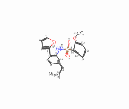 CNCc1ccc(-c2ccco2)c(NS(=O)(=O)c2ccccc2OC(F)(F)F)c1